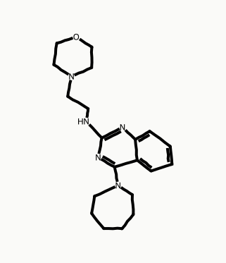 c1ccc2c(N3CCCCCC3)nc(NCCN3CCOCC3)nc2c1